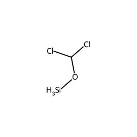 [SiH3]OC(Cl)Cl